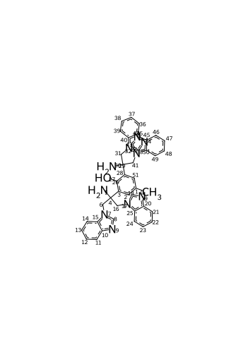 Cc1cc(C(N)(Cn2cnc3ccccc32)Cn2cnc3ccccc32)c(O)c(C(N)(Cn2cnc3ccccc32)Cn2cnc3ccccc32)c1